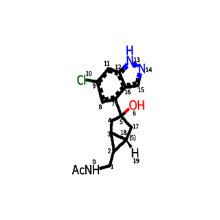 CC(=O)NCC1C2CC(O)(c3cc(Cl)cc4[nH]ncc34)C[C@H]12